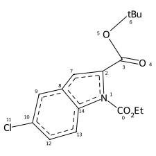 CCOC(=O)n1c(C(=O)OC(C)(C)C)cc2cc(Cl)ccc21